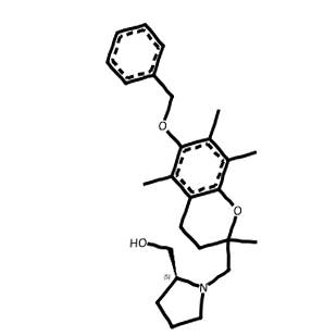 Cc1c(C)c2c(c(C)c1OCc1ccccc1)CCC(C)(CN1CCC[C@H]1CO)O2